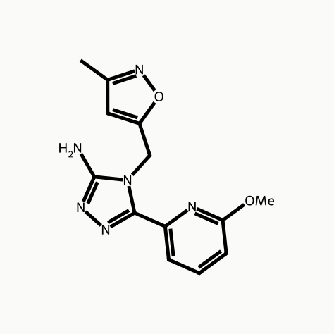 COc1cccc(-c2nnc(N)n2Cc2cc(C)no2)n1